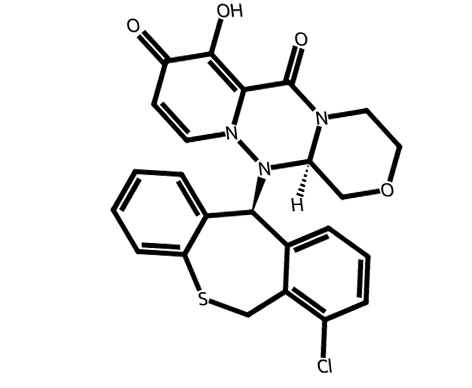 O=C1c2c(O)c(=O)ccn2N([C@@H]2c3ccccc3SCc3c(Cl)cccc32)[C@@H]2COCCN12